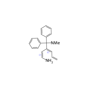 C=C/C=C(\C=C/N)C(NC)(c1ccccc1)c1ccccc1